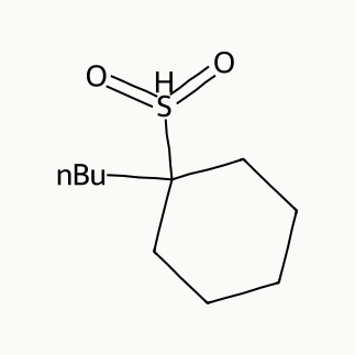 CCCCC1([SH](=O)=O)CCCCC1